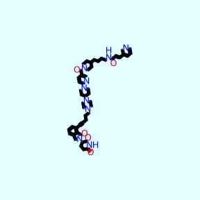 O=C(/C=C/c1cccnc1)NCCCCC1CCN(C(=O)c2ccc(N3CCC(N4CCN(CCCC#Cc5cccc6c5C(=O)N(C5CCC(=O)NC5=O)C6)CC4)CC3)nc2)CC1